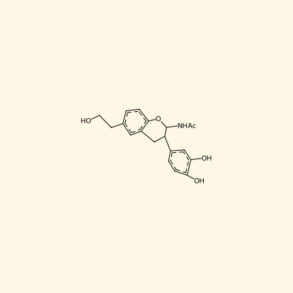 CC(=O)NC1Oc2ccc(CCO)cc2CC1c1ccc(O)c(O)c1